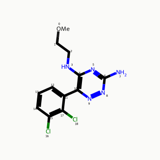 COCCNc1nc(N)nnc1-c1cccc(Cl)c1Cl